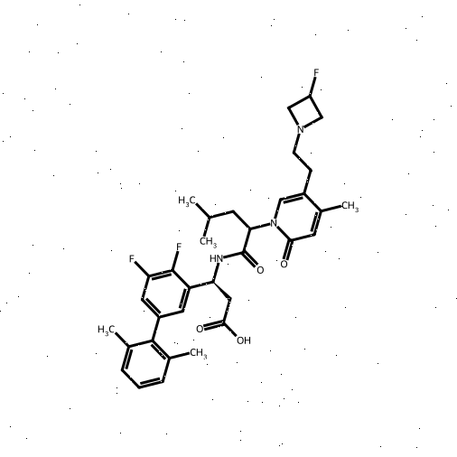 Cc1cc(=O)n(C(CC(C)C)C(=O)N[C@@H](CC(=O)O)c2cc(-c3c(C)cccc3C)cc(F)c2F)cc1CCN1CC(F)C1